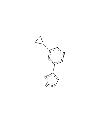 c1cc(-c2cncc(C3CC3)c2)no1